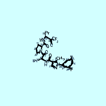 Cc1c(C(=O)N[C@H](C(=O)N2CCC[C@H]2C(=O)N[C@H](C(=O)C(F)(F)F)C(C)C)C(C)C)cnn1-c1cc(F)cc(F)c1